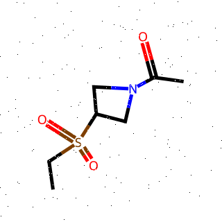 CCS(=O)(=O)C1CN(C(C)=O)C1